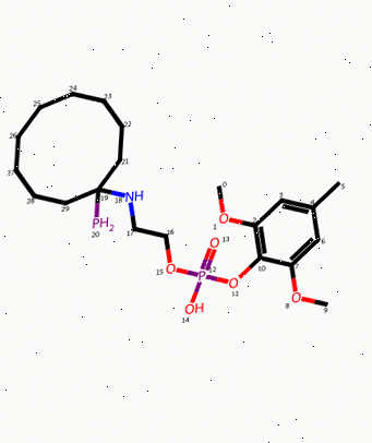 COc1cc(C)cc(OC)c1OP(=O)(O)OCCNC1(P)CCCCCCCCC1